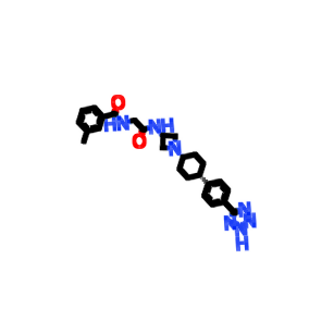 Cc1cccc(C(=O)NCC(=O)NC2CN([C@H]3CC[C@@H](c4ccc(-c5nn[nH]n5)cc4)CC3)C2)c1